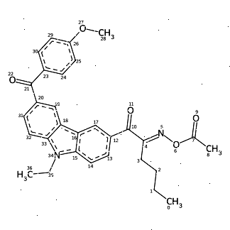 CCCC/C(=N\OC(C)=O)C(=O)c1ccc2c(c1)c1cc(C(=O)c3ccc(OC)cc3)ccc1n2CC